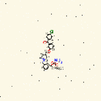 CCCCCCCC(OC(N)=O)c1cccc(CN2CCC(COc3cccc(C(=O)c4ccc(Cl)cc4)c3)CC2)c1